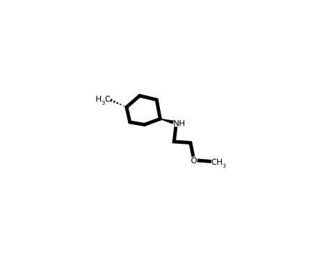 COCCN[C@H]1CC[C@H](C)CC1